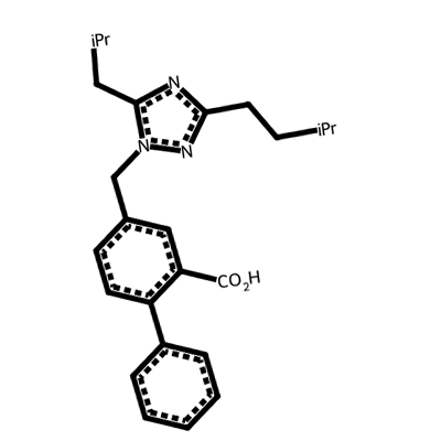 CC(C)CCc1nc(CC(C)C)n(Cc2ccc(-c3ccccc3)c(C(=O)O)c2)n1